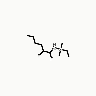 CCCCC(F)C(F)[AsH][Si](C)(C)CC